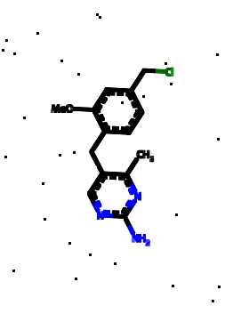 COc1cc(CCl)ccc1Cc1cnc(N)nc1C